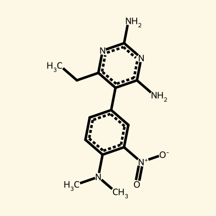 CCc1nc(N)nc(N)c1-c1ccc(N(C)C)c([N+](=O)[O-])c1